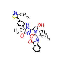 Cc1ncsc1-c1ccc([C@]2(C)NC(C3C[C@@H](O)CN3C(=O)[C@H](C(C)C)N3Cc4ccccc4C3=O)=NC2=O)cc1